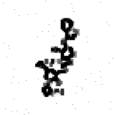 Cn1c(Nc2cc(C3CC3)cn([C@@H]3CC[C@H]3O)c2=O)nc2ncc(Oc3cnn4ccccc34)c(Cl)c21